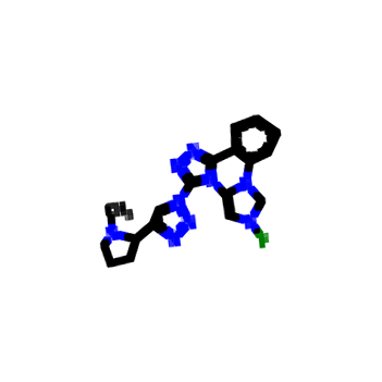 CN1CCCC1c1cn(-c2nnc3n2C2=CN(F)CN2c2ccccc2-3)nn1